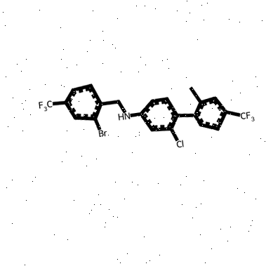 Cc1cc(C(F)(F)F)ccc1-c1ccc(NCc2ccc(C(F)(F)F)cc2Br)cc1Cl